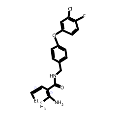 CC/C=C\C(C(=O)NCc1ccc(Oc2ccc(F)c(Cl)c2)cc1)=C(/C)N